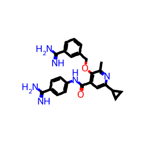 Cc1nc(C2CC2)cc(C(=O)Nc2ccc(C(=N)N)cc2)c1OCc1cccc(C(=N)N)c1